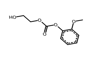 COc1ccccc1OC(=O)OCCO